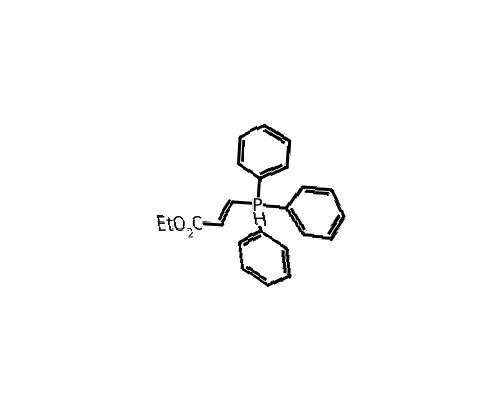 CCOC(=O)C=C[PH](c1ccccc1)(c1ccccc1)c1ccccc1